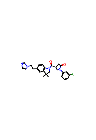 CC1(C)CN(C(=O)[C@H]2CC(=O)N(c3cccc(Cl)c3)C2)c2ccc(CCn3ccnc3)cc21